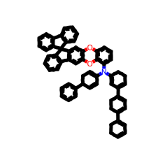 C1=CCCC(C2=CC=C(C3=CCCC(N(C4=CCC(c5ccccc5)C=C4)c4cccc5c4Oc4cc6c(cc4O5)C4(c5ccccc5-c5ccccc54)c4ccccc4-6)=C3)CC2)=C1